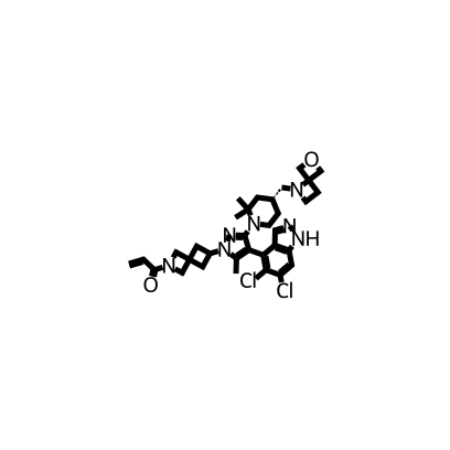 C=CC(=O)N1CC2(CC(n3nc(N4CC[C@@H](CN5CCC56COC6)CC4(C)C)c(-c4c(Cl)c(Cl)cc5[nH]ncc45)c3C)C2)C1